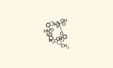 C[C@H]1CCC(C)(C)C(Oc2ccccc2OCCCc2sc(N3CCc4cccc(C(=O)Nc5nc6ccccc6s5)c4C3)nc2C(=O)O)C1